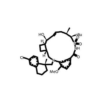 CCCC[C@@H]1[C@H](C)C/C=C/[C@H](O)[C@@H]2CC[C@H]2CN(C[C@]2(C)CCCc3cc(Cl)ccc32)c2cc(ccc2OC)C(=O)NS1(=O)=O